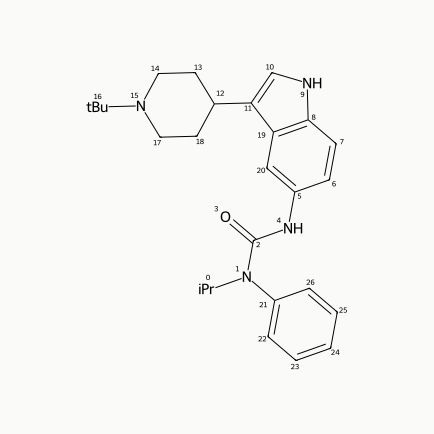 CC(C)N(C(=O)Nc1ccc2[nH]cc(C3CCN(C(C)(C)C)CC3)c2c1)c1ccccc1